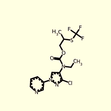 CCN(C(=O)OCC(C)SC(F)(F)F)c1cn(-c2cccnc2)nc1Cl